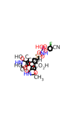 CC1CNC(=O)c2c(CC(=O)O)c(cc(-c3cc4cc(S(=O)(=O)NCP(=O)(O)Oc5ccc(C#N)c(F)c5)sc4cc3-c3cc4c(CC(=O)O)c(c3CC(=O)O)C(=O)NCC(C)O4)c2CC(=O)O)O1